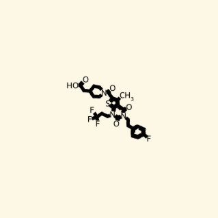 Cc1c(C(=O)N2CCC(CC(=O)O)CC2)sc2c1c(=O)n(CCc1ccc(F)cc1)c(=O)n2CCC(F)(F)F